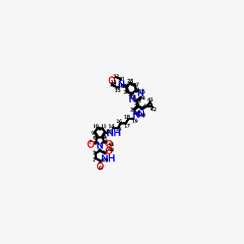 O=C1CCC(N2C(=O)c3cccc(NCCCCCCn4cc(-c5cnc6ccc(N7CCOCC7)cc6n5)c(C5CC5)n4)c3C2=O)C(=O)N1